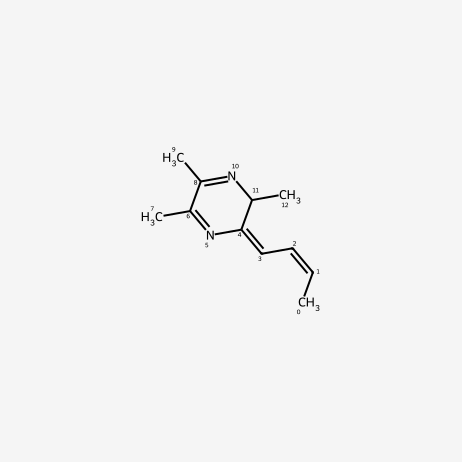 C/C=C\C=C1\N=C(C)C(C)=NC1C